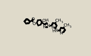 Cc1ccnc(Nc2cc(C)cc(-n3cnc([C@]4(O)CC[C@H](OC(=O)c5ccccc5)CC4)c3)n2)c1